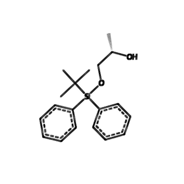 C[C@H](O)CO[Si](c1ccccc1)(c1ccccc1)C(C)(C)C